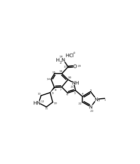 Cl.Cn1cc(-c2cc3c([C@H]4CCNC4)ccc(C(N)=O)c3[nH]2)cn1